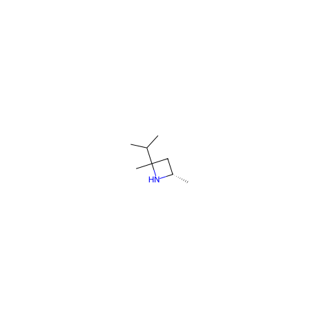 CC(C)C1(C)C[C@H](C)N1